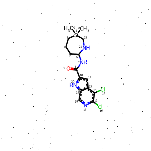 C[Si]1(C)CCCC(NC(=O)c2cc3c(Cl)c(Cl)ncc3[nH]2)NC1